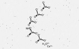 N.O=[N+]([O-])[O-].O=[N+]([O-])[O-].O=[N+]([O-])[O-].O=[N+]([O-])[O-].O=[N+]([O-])[O-].[Ce+3].[OH4+2]